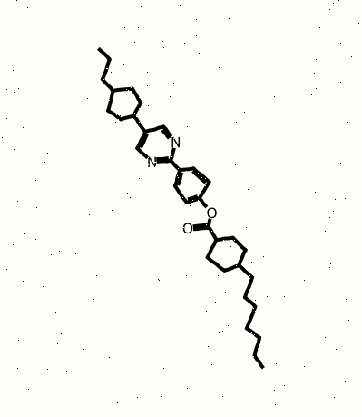 CCCCCCCC1CCC(C(=O)Oc2ccc(-c3ncc(C4CCC(CCC)CC4)cn3)cc2)CC1